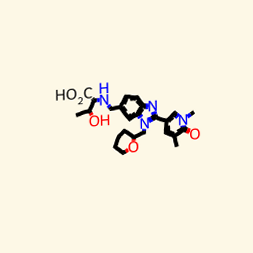 Cc1cc(-c2nc3ccc(CNC(C(=O)O)C(C)O)cc3n2CC2CCCCO2)cn(C)c1=O